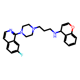 Fc1ccc2ccnc(N3CCN(CCCNC4C=COc5ccccc54)CC3)c2c1